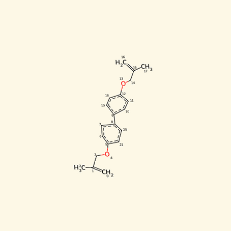 C=C(C)COc1ccc(-c2ccc(OCC(=C)C)cc2)cc1